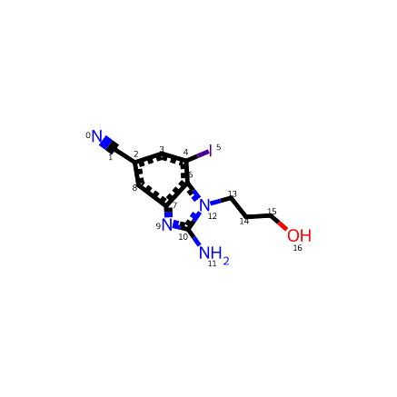 N#Cc1cc(I)c2c(c1)nc(N)n2CCCO